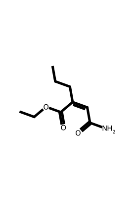 CCC/C(=C/C(N)=O)C(=O)OCC